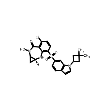 CC1(C)CC(n2ccc3ccc(S(=O)(=O)c4ccc(Cl)c5c4N[C@@H]4CC4N(O)C5=O)cc32)C1